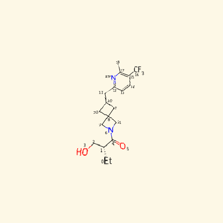 CC[C@H](CO)C(=O)N1CC2(CC(Cc3ccc(C(F)(F)F)c(C)n3)C2)C1